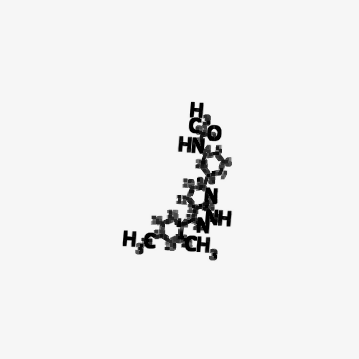 CC(=O)Nc1cccc(-c2ccc3c(-c4ccc(C)cc4C)n[nH]c3n2)c1